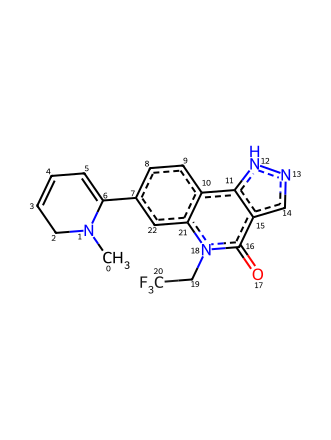 CN1CC=CC=C1c1ccc2c3[nH]ncc3c(=O)n(CC(F)(F)F)c2c1